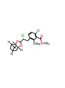 COc1c(C[C@@H](Cl)B2O[C@@H]3C[C@@H]4C[C@@H](C4(C)C)[C@]3(C)O2)ccc(Cl)c1C(=O)OC(C)(C)C